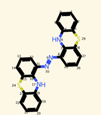 c1ccc2c(c1)Nc1c(N=Nc3cccc4c3Nc3ccccc3S4)cccc1S2